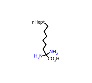 CCCCCCCCCCCCCC(N)(N)C(=O)O